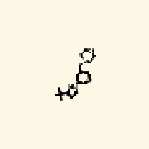 CC(C)(C)c1ccn(-c2cccc(CN3CCOCC3)c2)n1